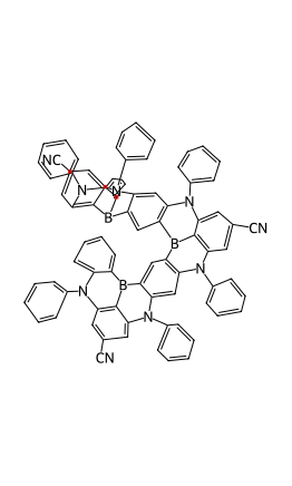 N#Cc1cc2c3c(c1)N(c1ccccc1)c1cc4c(cc1B3c1ccccc1N2c1ccccc1)B1c2cc3c(cc2N(c2ccccc2)c2cc(C#N)cc(c21)N4c1ccccc1)N(c1ccccc1)c1cc(C#N)cc2c1B3c1ccccc1N2c1ccccc1